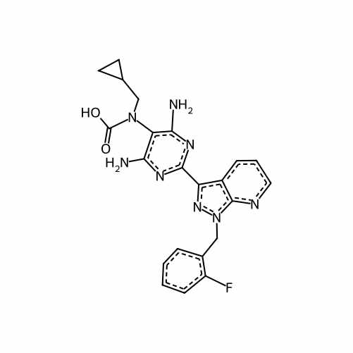 Nc1nc(-c2nn(Cc3ccccc3F)c3ncccc23)nc(N)c1N(CC1CC1)C(=O)O